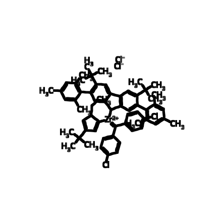 CCC1C=C(C(C)(C)C)C=[C]1[Zr+2](=[C](c1ccc(Cl)cc1)c1ccc(Cl)cc1)[CH]1c2cc(-c3c(C)cc(C)cc3C)c(C(C)(C)C)cc2-c2cc(C(C)(C)C)c(-c3c(C)cc(C)cc3C)cc21.[Cl-].[Cl-]